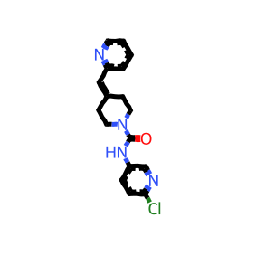 O=C(Nc1ccc(Cl)nc1)N1CCC(=Cc2ccccn2)CC1